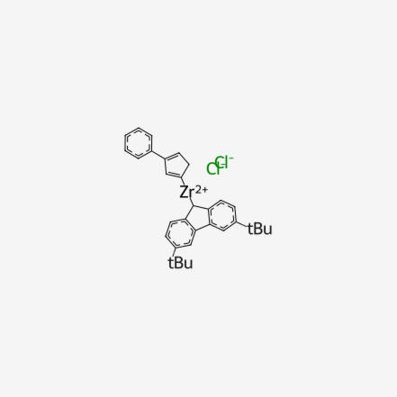 CC(C)(C)c1ccc2c(c1)-c1cc(C(C)(C)C)ccc1[CH]2[Zr+2][C]1=CC(c2ccccc2)=CC1.[Cl-].[Cl-]